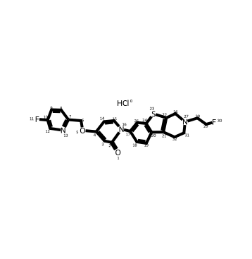 Cl.O=c1cc(OCc2ccc(F)cn2)ccn1-c1ccc2c3c(sc2c1)CN(CCF)CC3